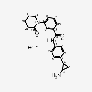 Cl.NC1CC1c1ccc(NC(=O)c2cccc(N3CCCCC3=O)c2)cc1